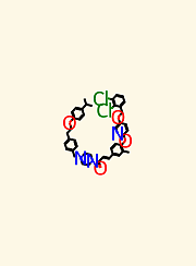 Cc1cc(C=CC(=O)N2CCN(Cc3ccc(CCOc4ccc(C(C)C)cc4)cc3)CC2)ccc1Oc1ccc(OCc2cccc(Cl)c2Cl)cn1